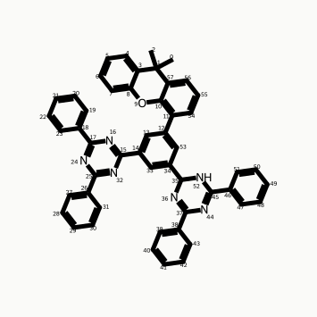 CC1(C)c2ccccc2Oc2c(-c3cc(-c4nc(-c5ccccc5)nc(-c5ccccc5)n4)cc(C4N=C(c5ccccc5)N=C(c5ccccc5)N4)c3)cccc21